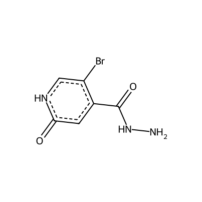 NNC(=O)c1cc(=O)[nH]cc1Br